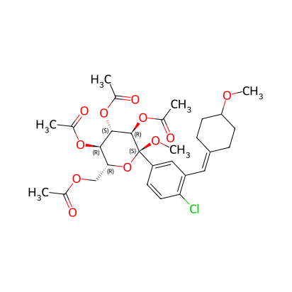 COC1CCC(=Cc2cc([C@]3(OC)O[C@H](COC(C)=O)[C@@H](OC(C)=O)[C@H](OC(C)=O)[C@H]3OC(C)=O)ccc2Cl)CC1